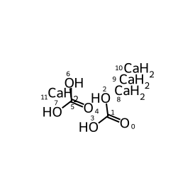 O=C(O)O.O=C(O)O.[CaH2].[CaH2].[CaH2].[CaH2]